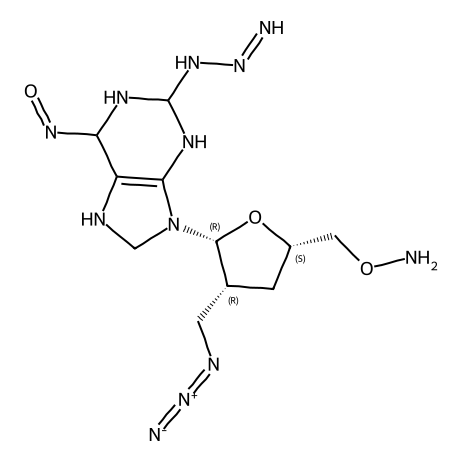 [N-]=[N+]=NC[C@H]1C[C@@H](CON)O[C@H]1N1CNC2=C1NC(NN=N)NC2N=O